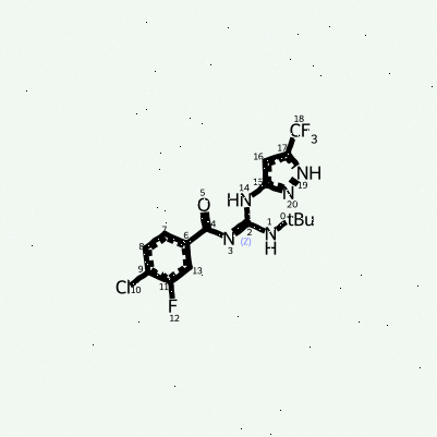 CC(C)(C)N/C(=N/C(=O)c1ccc(Cl)c(F)c1)Nc1cc(C(F)(F)F)[nH]n1